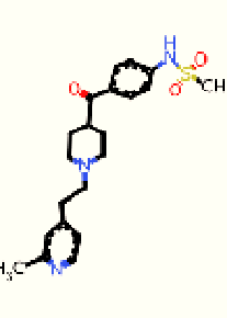 Cc1cc(CCN2CCC(C(=O)c3ccc(NS(C)(=O)=O)cc3)CC2)ccn1